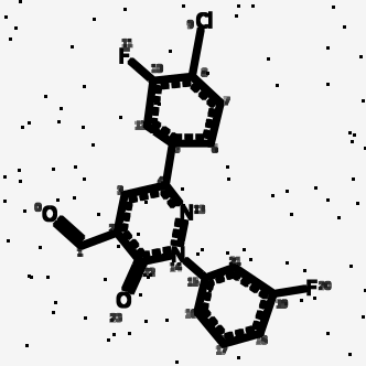 O=Cc1cc(-c2ccc(Cl)c(F)c2)nn(-c2cccc(F)c2)c1=O